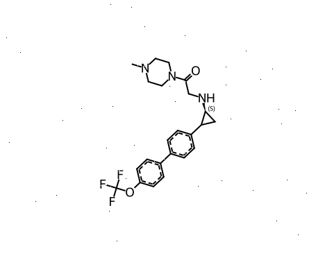 CN1CCN(C(=O)CN[C@H]2CC2c2ccc(-c3ccc(OC(F)(F)F)cc3)cc2)CC1